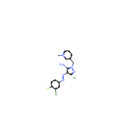 C[n+]1cccc(Cn2ncc(/N=N/c3ccc(F)c(Cl)c3)c2N)c1.[Cl-]